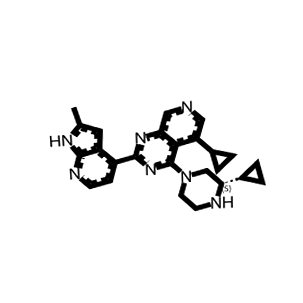 Cc1cc2c(-c3nc(N4CCN[C@@H](C5CC5)C4)c4c(C5CC5)cncc4n3)ccnc2[nH]1